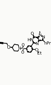 C#CCOC1CCN(S(=O)(=O)c2ccc(OCC)c(-c3nc4c(CCC)nn(C)c4c(=O)[nH]3)c2)CC1